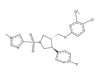 Cn1cnc(S(=O)(=O)N2C[C@H](COc3ccc(Cl)c(C(F)(F)F)c3)[C@@H](c3ccc(F)cc3)C2)c1